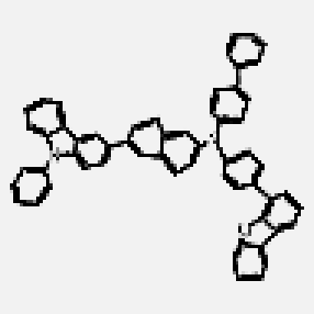 c1ccc(-c2ccc(N(c3ccc(-c4cccc5c4oc4ccccc45)cc3)c3ccc4cc(-c5ccc6c(c5)c5ccccc5n6-c5ccccc5)ccc4c3)cc2)cc1